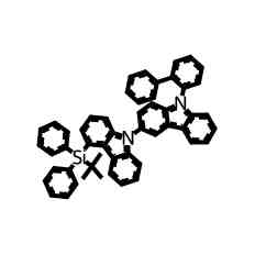 CC(C)(C)[Si](c1ccccc1)(c1ccccc1)c1cccc2c1c1ccccc1n2-c1ccc2c(c1)c1ccccc1n2-c1ccccc1-c1ccccc1